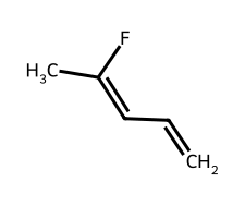 C=C/C=C(/C)F